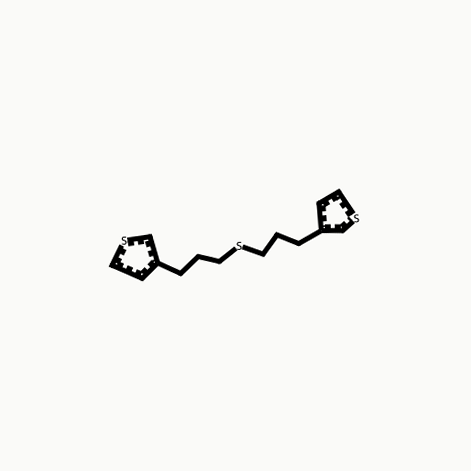 c1cc(CCCSCCCc2ccsc2)cs1